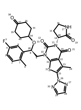 Cc1ccc(F)cc1[C@H](Cn1c(=O)n([C@@H]2CCNC2=O)c(=O)c2c(C)c(-n3nccn3)sc21)OC1CCC(=O)CC1